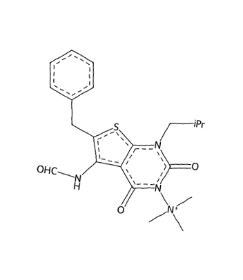 CC(C)Cn1c(=O)n([N+](C)(C)C)c(=O)c2c(NC=O)c(Cc3ccccc3)sc21